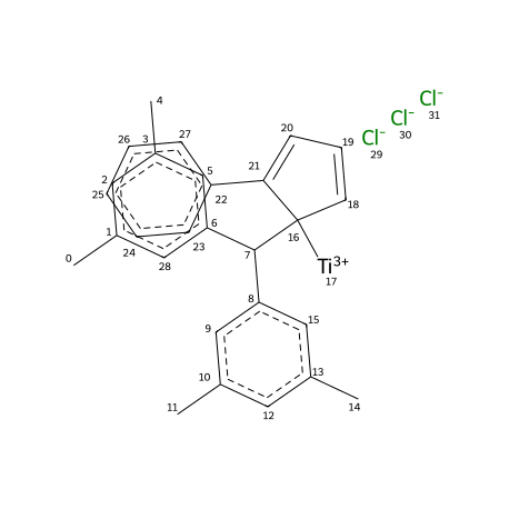 Cc1cc(C)cc(C(c2cc(C)cc(C)c2)[C]2([Ti+3])C=CC=C2c2ccccc2)c1.[Cl-].[Cl-].[Cl-]